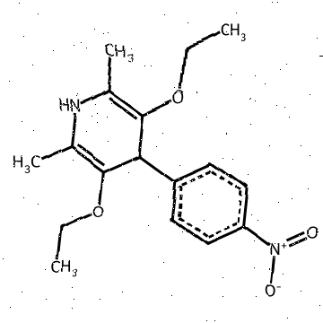 CCOC1=C(C)NC(C)=C(OCC)C1c1ccc([N+](=O)[O-])cc1